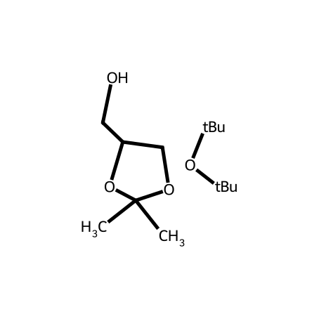 CC(C)(C)OC(C)(C)C.CC1(C)OCC(CO)O1